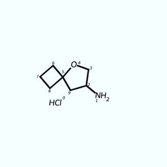 Cl.NC1COC2(CCC2)C1